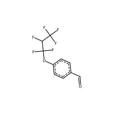 O=[C]c1ccc(OC(F)(F)C(F)C(F)(F)F)cc1